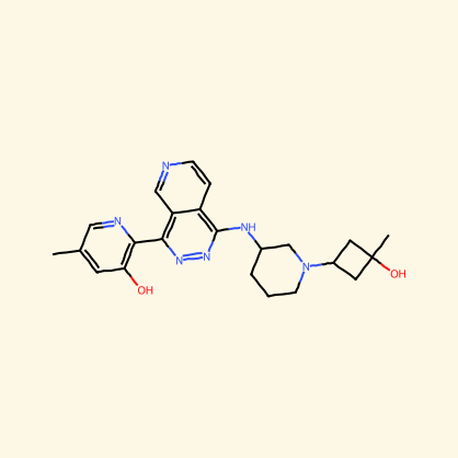 Cc1cnc(-c2nnc(NC3CCCN(C4CC(C)(O)C4)C3)c3ccncc23)c(O)c1